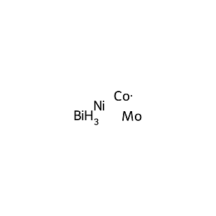 [BiH3].[Co].[Mo].[Ni]